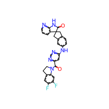 O=C(c1cc(Nc2ccc3c(c2)CC2(C3)C(=O)Nc3ncccc32)ncn1)N1CCc2cc(F)c(F)cc21